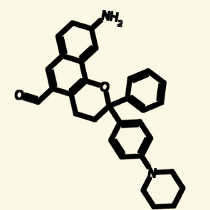 NC1C=c2c3c(c(C=O)cc2=CC1)CCC(c1ccccc1)(c1ccc(N2CCCCC2)cc1)O3